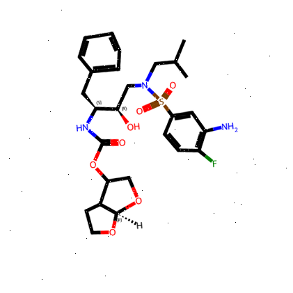 CC(C)CN(C[C@@H](O)[C@H](Cc1ccccc1)NC(=O)OC1CO[C@H]2OCCC12)S(=O)(=O)c1ccc(F)c(N)c1